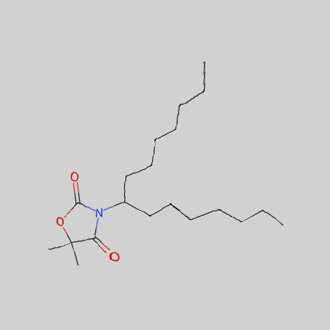 CCCCCCCC(CCCCCCC)N1C(=O)OC(C)(C)C1=O